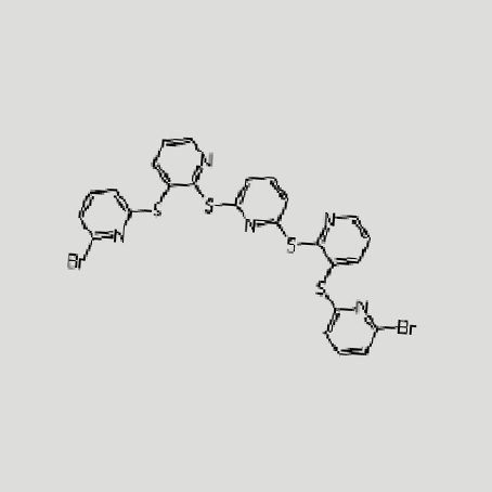 Brc1cccc(Sc2cccnc2Sc2cccc(Sc3ncccc3Sc3cccc(Br)n3)n2)n1